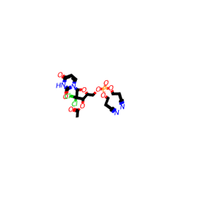 CC(=O)OC1C(COP(=O)(OCCC#N)OCCC#N)OC(n2ccc(=O)[nH]c2=O)C1(Cl)Cl